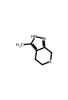 Cc1[nH]nc2c1CCSC2